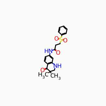 CC1(C)CNc2cc(NC(=O)CCS(=O)(=O)c3ccccc3)ccc2C1=O